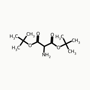 CC(C)(C)OC(=O)C(N)C(=O)OC(C)(C)C